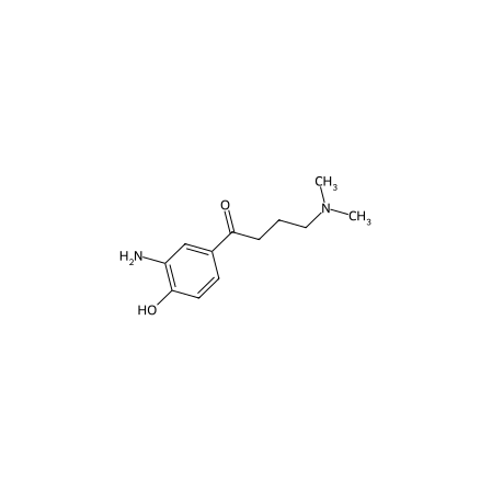 CN(C)CCCC(=O)c1ccc(O)c(N)c1